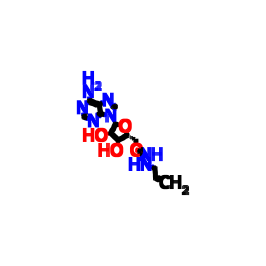 C=CCNNOC[C@H]1O[C@@H](n2cnc3c(N)ncnc32)[C@H](O)[C@@H]1O